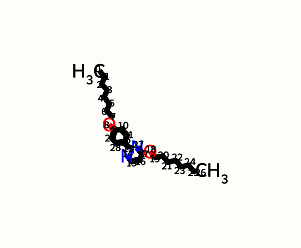 CCCCCCCCOc1ccc(-c2nccc(OCCCCCCCC)n2)cc1